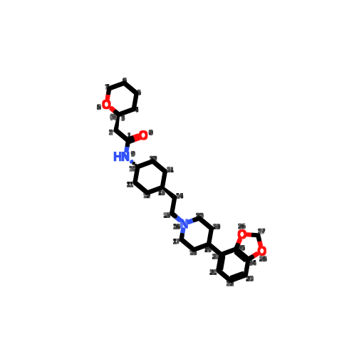 O=C(C[C@@H]1CCCCO1)N[C@H]1CC[C@H](CCN2CCC(c3cccc4c3OCO4)CC2)CC1